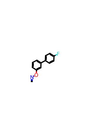 C=NOc1cccc(-c2ccc(F)cc2)c1